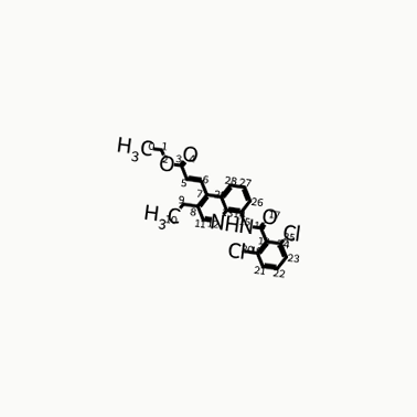 CCOC(=O)/C=C/c1c(CC)cnc2c(NC(=O)c3c(Cl)cccc3Cl)cccc12